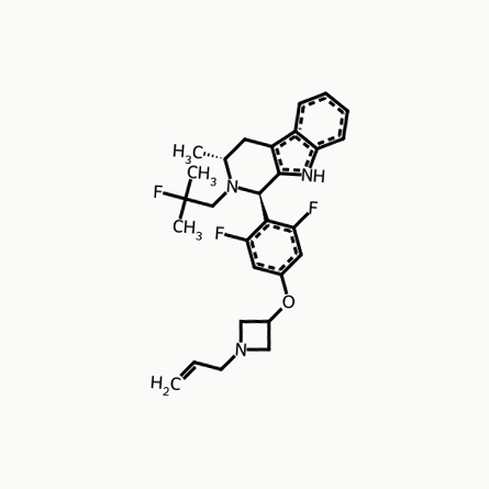 C=CCN1CC(Oc2cc(F)c([C@@H]3c4[nH]c5ccccc5c4C[C@@H](C)N3CC(C)(C)F)c(F)c2)C1